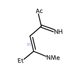 CC/C(=C/C(=N)C(C)=O)NC